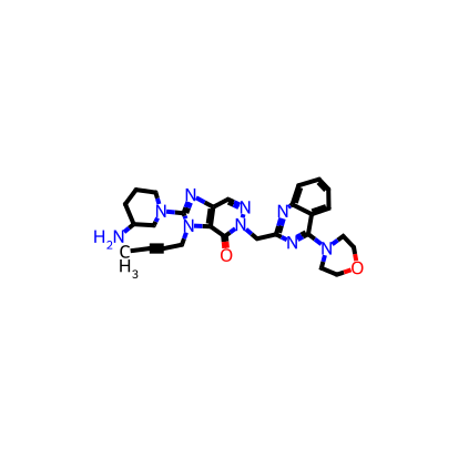 CC#CCn1c(N2CCCC(N)C2)nc2cnn(Cc3nc(N4CCOCC4)c4ccccc4n3)c(=O)c21